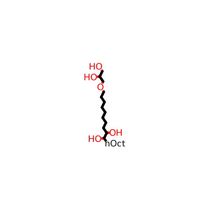 CCCCCCCCC(O)C(O)CCCCCCCCOCC(O)CO